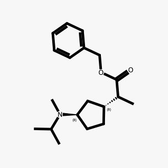 CC(C(=O)OCc1ccccc1)[C@@H]1CC[C@@H](N(C)C(C)C)C1